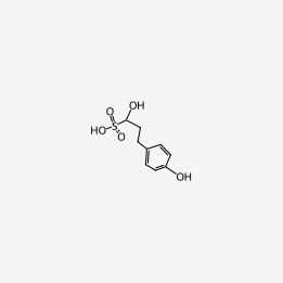 O=S(=O)(O)C(O)CCc1ccc(O)cc1